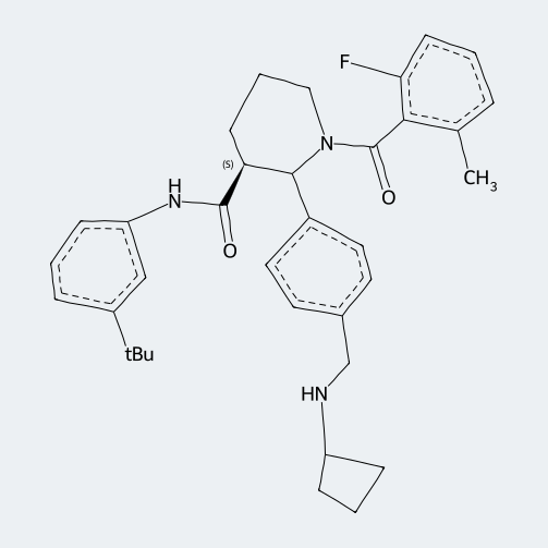 Cc1cccc(F)c1C(=O)N1CCC[C@H](C(=O)Nc2cccc(C(C)(C)C)c2)C1c1ccc(CNC2CCC2)cc1